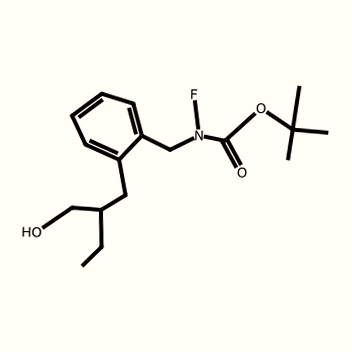 CCC(CO)Cc1ccccc1CN(F)C(=O)OC(C)(C)C